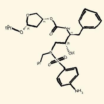 CCCO[C@H]1C[C@@H](OC(=O)N[C@@H](Cc2ccccc2)[C@H](O)CN(CC(C)C)S(=O)(=O)c2ccc(N)cc2)CO1